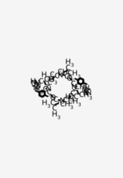 CC(C)C[C@H]1CO[C@H](C)CN(C)[C@@H](CC(C)C)CO[C@H](Cc2ccc(Cn3cnnn3)cc2)CN(C)[C@@H](CC(C)C)CO[C@H](C)CN(C)[C@@H](CC(C)C)CO[C@H](Cc2ccc(Cn3cnnn3)cc2)CN1C